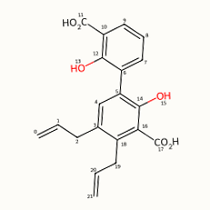 C=CCc1cc(-c2cccc(C(=O)O)c2O)c(O)c(C(=O)O)c1CC=C